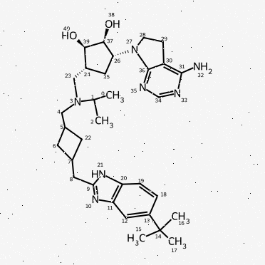 CC(C)N(CC1CC(Cc2nc3cc(C(C)(C)C)ccc3[nH]2)C1)C[C@H]1C[C@@H](N2CCc3c(N)ncnc32)[C@H](O)[C@@H]1O